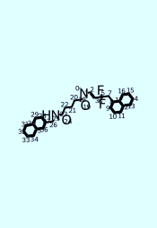 CN(/C=C/C(F)(F)Cc1cccc2ccccc12)C(=O)CCCC(=O)NCc1ccc2ccccc2c1